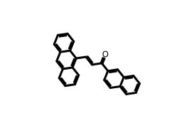 O=C(C=Cc1c2ccccc2cc2ccccc12)c1ccc2ccccc2c1